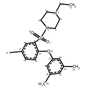 CCN1CCN(S(=O)(=O)c2cc(I)ccc2Oc2cc(C)cc(C)c2)CC1